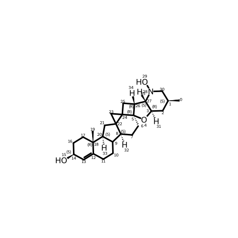 C[C@H]1C[C@H]2O[C@@]34CC[C@H]5C6CCC7=C[C@@H](O)CC[C@]7(C)[C@H]6CC56CC63C[C@@H]4[C@@H]2N(O)C1